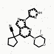 C[C@@H]1COCCN1c1cc(C2(C#N)CCCC2)c2cnn(-c3cc[nH]n3)c2n1